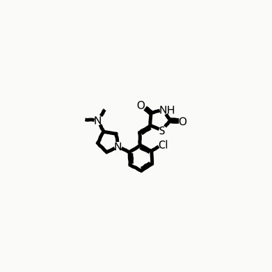 CN(C)C1CCN(c2cccc(Cl)c2C=C2SC(=O)NC2=O)C1